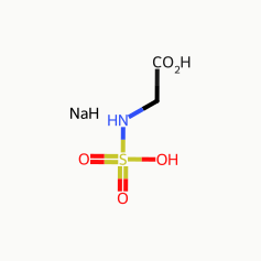 O=C(O)CNS(=O)(=O)O.[NaH]